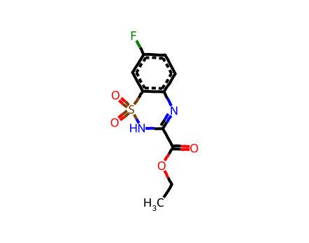 CCOC(=O)C1=Nc2ccc(F)cc2S(=O)(=O)N1